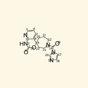 O=C1Nc2ncccc2C2(CCCN(C(=O)n3ccnc3)CC2)O1